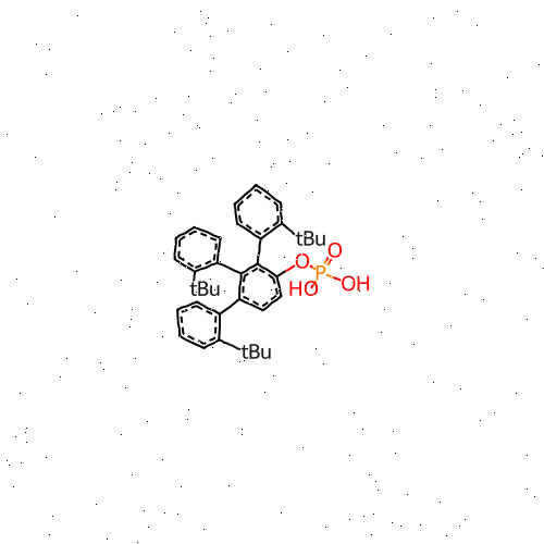 CC(C)(C)c1ccccc1-c1ccc(OP(=O)(O)O)c(-c2ccccc2C(C)(C)C)c1-c1ccccc1C(C)(C)C